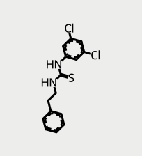 S=C(NCCc1ccccc1)Nc1cc(Cl)cc(Cl)c1